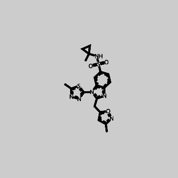 Cc1cc(Cc2nc3ccc(S(=O)(=O)NC4(C)CC4)cc3n2-c2nnc(C)s2)on1